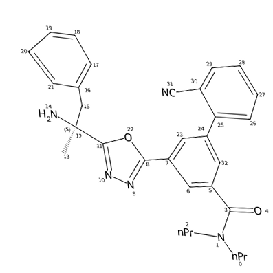 CCCN(CCC)C(=O)c1cc(-c2nnc([C@@](C)(N)Cc3ccccc3)o2)cc(-c2ccccc2C#N)c1